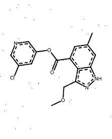 COCc1n[nH]c2cc(C)cc(C(=O)Oc3cncc(Cl)c3)c12